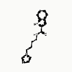 O=C(NCCCCn1ccnc1)c1cc2ccccc2[nH]1